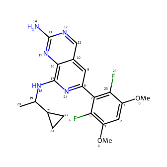 COc1cc(OC)c(F)c(-c2cc3cnc(N)nc3c(NC(C)C3CC3)n2)c1F